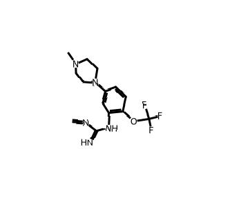 C=NC(=N)Nc1cc(N2CCN(C)CC2)ccc1OC(F)(F)F